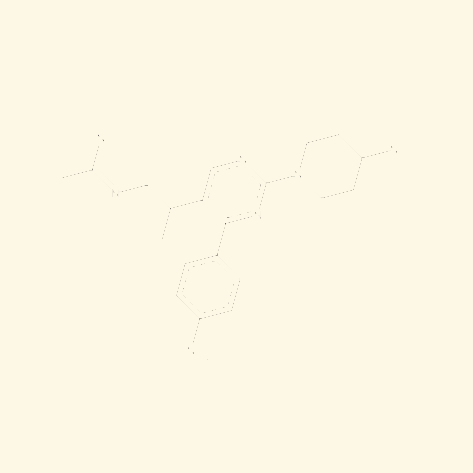 C=N/C(C)=N\C=C(/C)c1cnc(N2CCC(N)CC2)nc1-c1ccc(N)cc1